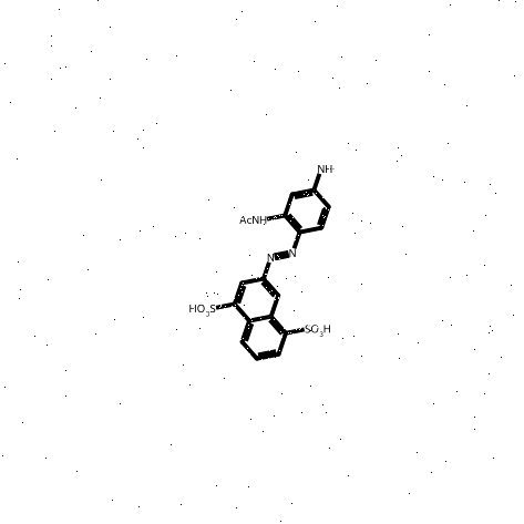 CC(=O)Nc1cc([NH])ccc1N=Nc1cc(S(=O)(=O)O)c2cccc(S(=O)(=O)O)c2c1